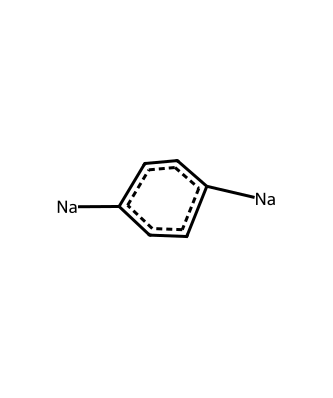 [Na][c]1cc[c]([Na])cc1